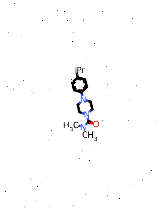 CC(C)c1ccc(N2CCN(C(=O)N(C)C)CC2)cc1